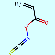 C=CC(=O)ON=C=S